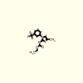 CCOC(=O)N=c1sc(C)cn1-c1cccc(C(F)(F)F)c1